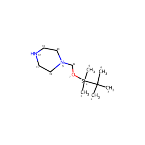 CC(C)(C)[Si](C)(C)OCN1CCNCC1